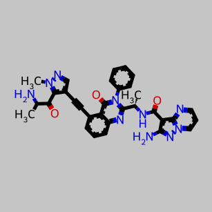 CC(N)C(=O)c1c(C#Cc2cccc3nc([C@H](C)NC(=O)c4c(N)nn5cccnc45)n(-c4ccccc4)c(=O)c23)cnn1C